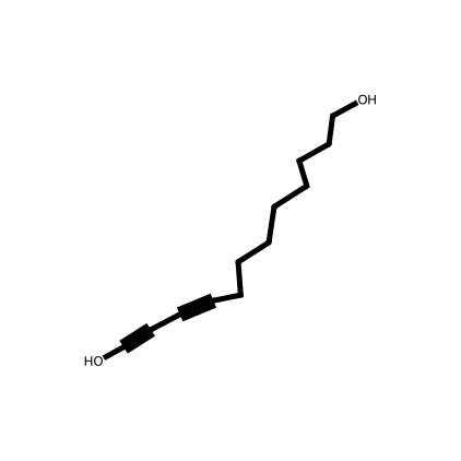 OC#CC#CCCCCCCCCO